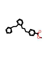 COC(=O)c1ccc(CCCc2ccccc2CCc2ccccc2)cc1